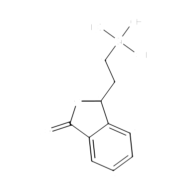 C[Si](C)(C)CC[C]1OC(=O)c2ccccc21